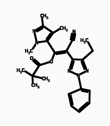 CCc1nn(-c2ccccc2)nc1C(C#N)=C(OC(=O)C(C)(C)C)c1c(C)c(C)nn1C